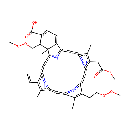 C=Cc1c(C)c2cc3nc(cc4[nH]c(cc5nc(cc1[nH]2)C1(C)C5=CC=C(C(=O)O)C1COOC)c(C)c4CC(=O)OC)C(CCOOC)=C3C